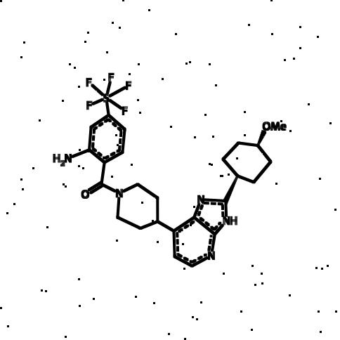 CO[C@H]1CC[C@@H](c2nc3c(C4CCN(C(=O)c5ccc(S(F)(F)(F)(F)F)cc5N)CC4)ccnc3[nH]2)CC1